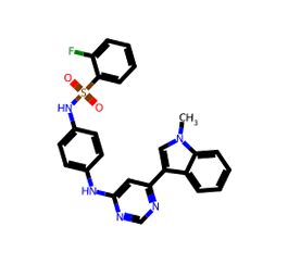 Cn1cc(-c2cc(Nc3ccc(NS(=O)(=O)c4ccccc4F)cc3)ncn2)c2ccccc21